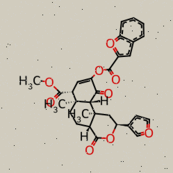 COC(=O)[C@@H]1C=C(OC(=O)c2cc3ccccc3o2)C(=O)[C@H]2[C@@]1(C)CC[C@H]1C(=O)O[C@H](c3ccoc3)C[C@]21C